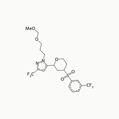 COCOCCCn1nc(C(F)(F)F)cc1C1CC(S(=O)(=O)c2cccc(C(F)(F)F)c2)CCO1